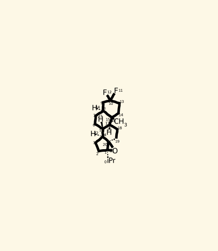 CC(C)[C@]12CC[C@H]3[C@@H]4CC[C@H]5CC(F)(F)CC[C@]5(C)[C@H]4CC[C@@]31O2